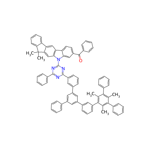 Cc1c(-c2ccccc2)c(C)c(-c2cccc(-c3cc(-c4ccccc4)cc(-c4cccc(-c5nc(-c6ccccc6)nc(-n6c7cc(C(=O)c8ccccc8)ccc7c7cc8c(cc76)C(C)(C)c6ccccc6-8)n5)c4)c3)c2)c(C)c1-c1ccccc1